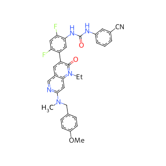 CCn1c(=O)c(-c2cc(NC(=O)Nc3cccc(C#N)c3)c(F)cc2F)cc2cnc(N(C)Cc3ccc(OC)cc3)cc21